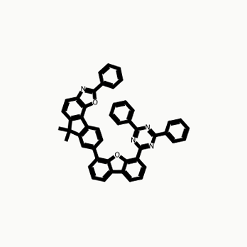 CC1(C)c2cc(-c3cccc4c3oc3c(-c5nc(-c6ccccc6)nc(-c6ccccc6)n5)cccc34)ccc2-c2c1ccc1nc(-c3ccccc3)oc21